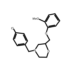 COc1ccccc1OCC1CN(Cc2ccc(Cl)cc2)CCO1